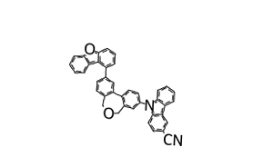 N#Cc1ccc2c(c1)c1ccccc1n2-c1ccc2c(c1)COCc1ccc(-c3cccc4oc5ccccc5c34)cc1-2